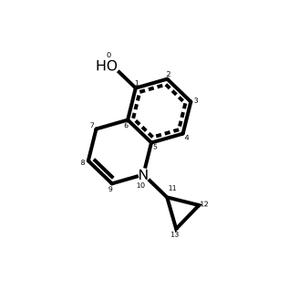 Oc1cccc2c1CC=CN2C1CC1